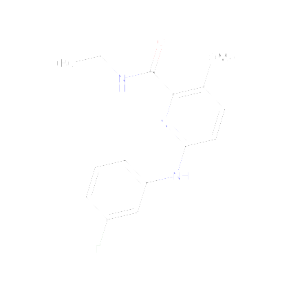 COc1ccc(Nc2cccc(F)c2)nc1C(=O)NCC(C)(C)C